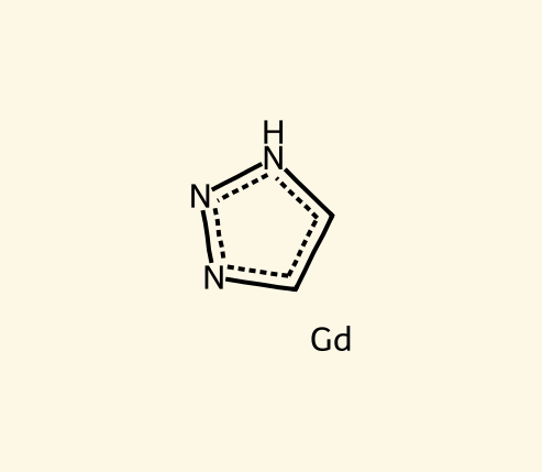 [Gd].c1c[nH]nn1